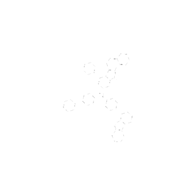 c1ccc(-c2ccc(N(c3ccc(-c4cccc5c4sc4ccccc45)cc3)c3cc(-c4ccccc4)c4c(c3)oc3c5ccccc5ccc34)cc2)cc1